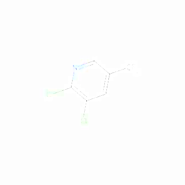 FC(F)(F)c1[c]c(Cl)c(Cl)nc1